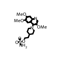 COc1cc2ncc(OC)c(N3CCC(CCOS(N)(=O)=O)CC3)c2cc1OC